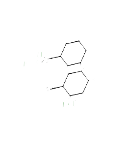 Cl.Cl.Cl.[Al][CH]1CCCCC1.[Al][CH]1CCCCC1